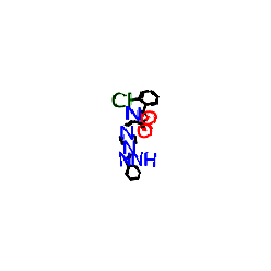 O=C1OC(c2ccccc2Cl)=N/C1=C/N1CCN(c2nc3ccccc3[nH]2)CC1